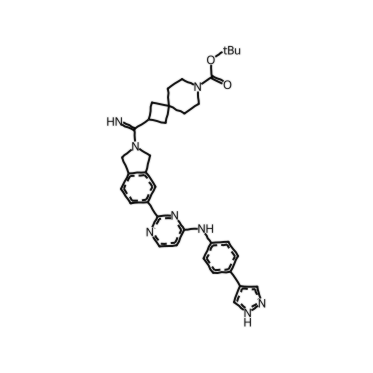 CC(C)(C)OC(=O)N1CCC2(CC1)CC(C(=N)N1Cc3ccc(-c4nccc(Nc5ccc(-c6cn[nH]c6)cc5)n4)cc3C1)C2